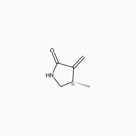 C=C1C(=O)NC[C@H]1C